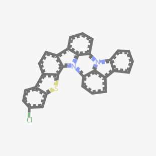 Clc1ccc2c(c1)sc1c2ccc2c3cccc4c3n(c3cccc5c6ccccc6n4c53)c21